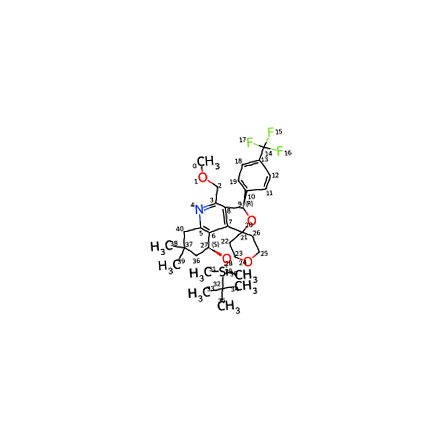 COCc1nc2c(c3c1[C@@H](c1ccc(C(F)(F)F)cc1)OC31CCOCC1)[C@@H](O[Si](C)(C)C(C)(C)C)CC(C)(C)C2